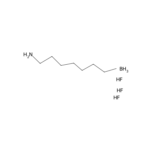 B.CCCCCCCCN.F.F.F